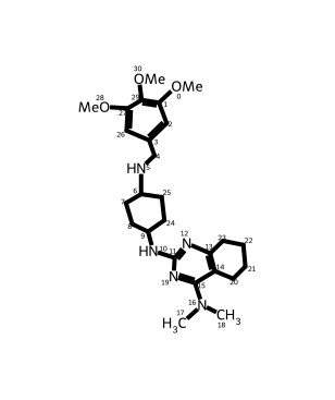 COc1cc(CNC2CCC(Nc3nc4c(c(N(C)C)n3)CCCC4)CC2)cc(OC)c1OC